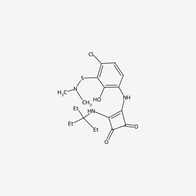 CCC(CC)(CC)Nc1c(Nc2ccc(Cl)c(SN(C)C)c2O)c(=O)c1=O